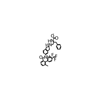 COC(=O)NC(CNC1Cc2ccc(NC(=O)c3cccc(C)c3-c3ccc(C(F)(F)F)cc3)cc2C1)Cc1ccccc1